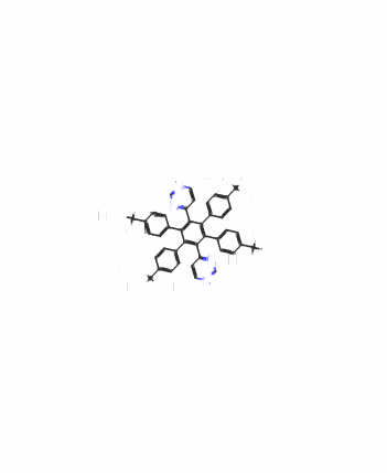 CC(C)(C)c1ccc(-c2c(-c3ccc(C(C)(C)C)cc3)c(-c3ccncn3)c(-c3ccc(C(C)(C)C)cc3)c(-c3ccc(C(C)(C)C)cc3)c2-c2ccncn2)cc1